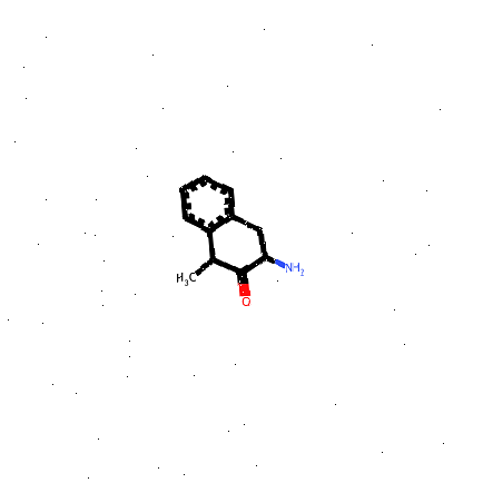 CC1C(=O)C(N)Cc2ccccc21